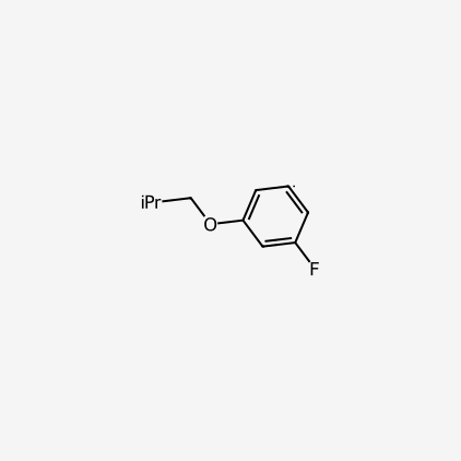 CC(C)COc1c[c]cc(F)c1